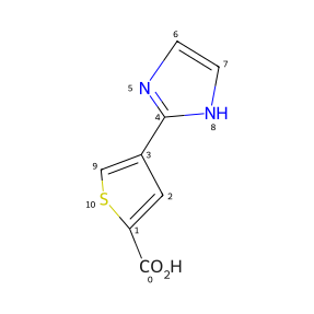 O=C(O)c1cc(-c2ncc[nH]2)cs1